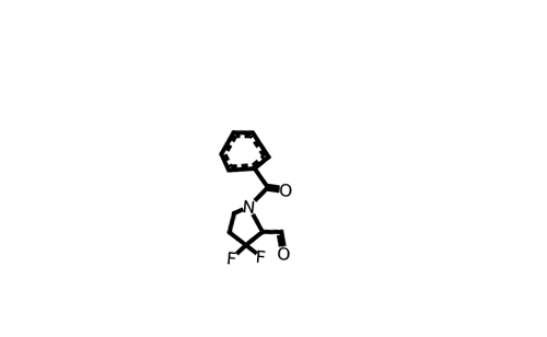 O=CC1N(C(=O)c2ccccc2)CCC1(F)F